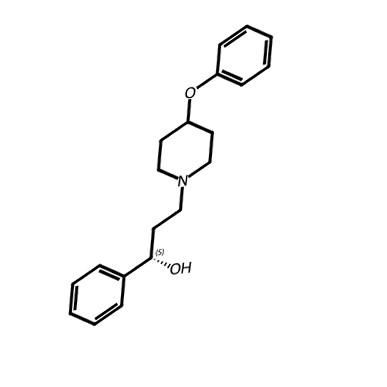 O[C@@H](CCN1CCC(Oc2ccccc2)CC1)c1ccccc1